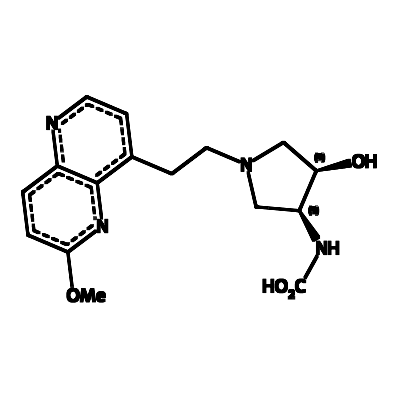 COc1ccc2nccc(CCN3C[C@@H](O)[C@@H](NC(=O)O)C3)c2n1